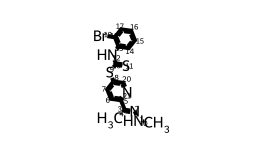 CNN=C(C)c1ccc(SC(=S)Nc2ccccc2Br)cn1